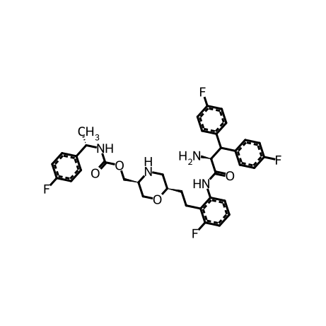 C[C@H](NC(=O)OC[C@@H]1CO[C@H](CCc2c(F)cccc2NC(=O)[C@@H](N)C(c2ccc(F)cc2)c2ccc(F)cc2)CN1)c1ccc(F)cc1